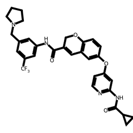 O=C(Nc1cc(CN2CCCC2)cc(C(F)(F)F)c1)C1=Cc2cc(Oc3ccnc(NC(=O)C4CC4)c3)ccc2OC1